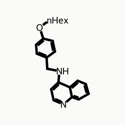 CCCCCCOc1ccc(CNc2ccnc3ccccc23)cc1